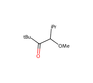 COC(C(=O)C(C)(C)C)C(C)C